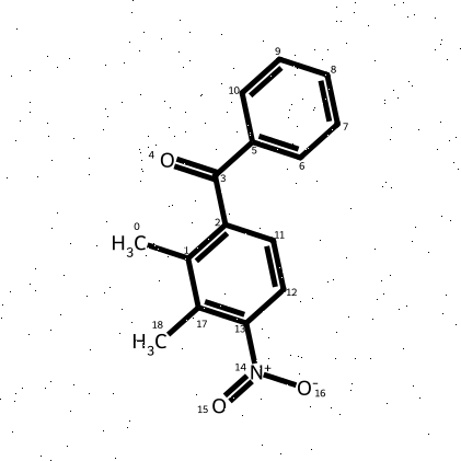 Cc1c(C(=O)c2ccccc2)ccc([N+](=O)[O-])c1C